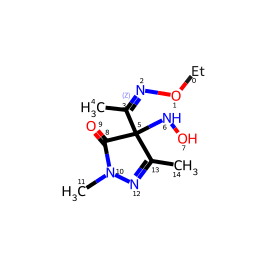 CCO/N=C(/C)C1(NO)C(=O)N(C)N=C1C